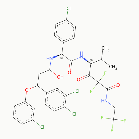 CC(C)[C@H](NC(=O)[C@@H](NC(O)CC(Oc1cccc(Cl)c1)c1ccc(Cl)c(Cl)c1)c1ccc(Cl)cc1)C(=O)C(F)(F)C(=O)NCC(F)(F)F